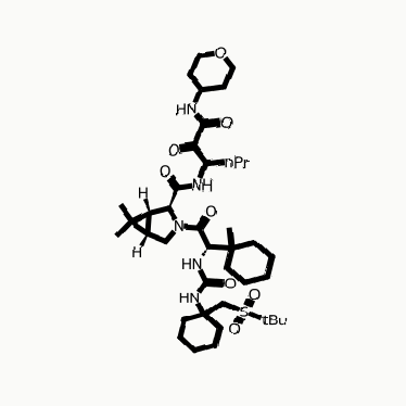 CCCC(NC(=O)[C@@H]1[C@@H]2[C@H](CN1C(=O)[C@@H](NC(=O)NC1(CS(=O)(=O)C(C)(C)C)CCCCC1)C1(C)CCCCC1)C2(C)C)C(=O)C(=O)NC1CCOCC1